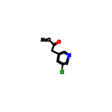 COC(=O)Cc1cn[c]c(Cl)c1